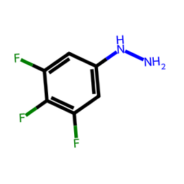 NNc1cc(F)c(F)c(F)c1